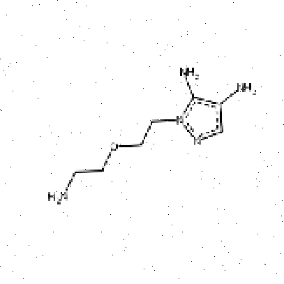 NCCOCCn1ncc(N)c1N